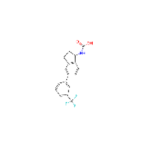 O=C(O)NC1CCc2cc(-c3cccc(C(F)(F)F)c3)ccc21